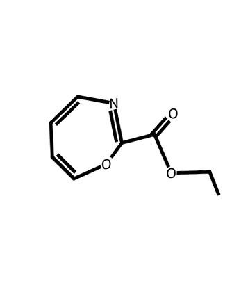 CCOC(=O)C1=NC=CC=CO1